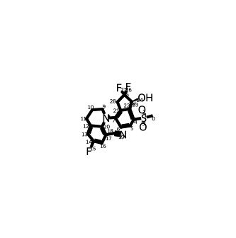 CS(=O)(=O)c1ccc(N2CCCc3cc(F)cc(C#N)c32)c2c1[C@H](O)C(F)(F)C2